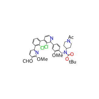 COc1cc(-c2nccc(-c3cccc(-c4ccc(C=O)c(OC)n4)c3Cl)c2Cl)ccc1CN(C(=O)OC(C)(C)C)C1CCN(C(C)=O)CC1